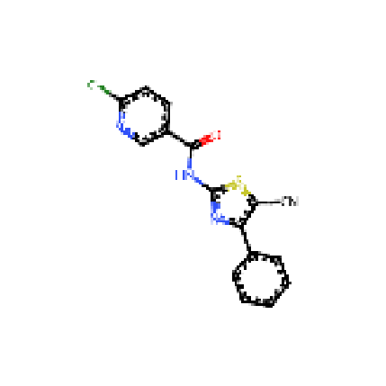 N#Cc1sc(NC(=O)c2ccc(Cl)nc2)nc1-c1ccccc1